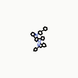 c1ccc(-c2ccc(-n3c4ccccc4c4ccc5c(c6ccccc6n5-c5nc(-c6ccccc6)cc6ccccc56)c43)cc2)cc1